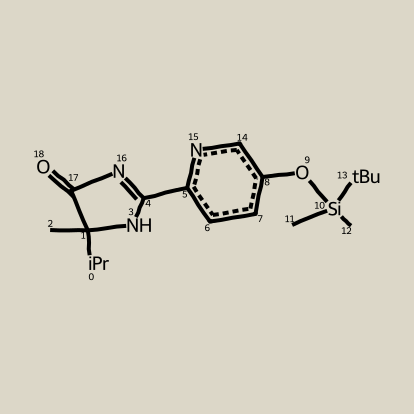 CC(C)C1(C)NC(c2ccc(O[Si](C)(C)C(C)(C)C)cn2)=NC1=O